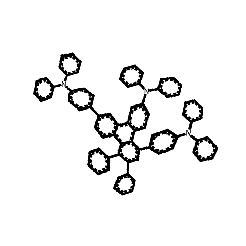 c1ccc(-c2cc(-c3ccc(N(c4ccccc4)c4ccccc4)cc3)c3c4ccc(N(c5ccccc5)c5ccccc5)cc4c4cc(-c5ccc(N(c6ccccc6)c6ccccc6)cc5)ccc4c3c2-c2ccccc2)cc1